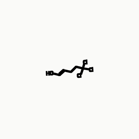 OC=CCCC(Cl)(Cl)Cl